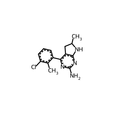 Cc1c(Cl)cccc1-c1nc(N)nc2c1CC(C)N2